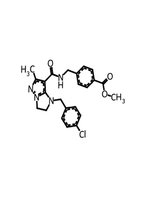 COC(=O)c1ccc(CNC(=O)c2c(C)nn3c2N(Cc2ccc(Cl)cc2)CC3)cc1